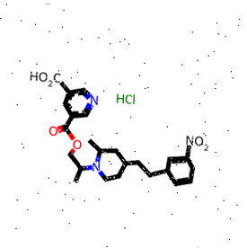 CC(COC(=O)c1cncc(C(=O)O)c1)N1CCC(CCC2C=CCC([N+](=O)[O-])=C2)CC1C.Cl